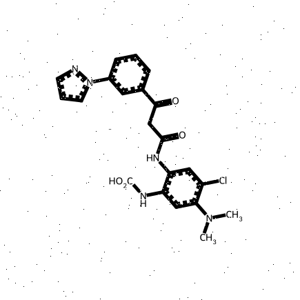 CN(C)c1cc(NC(=O)O)c(NC(=O)CC(=O)c2cccc(-n3cccn3)c2)cc1Cl